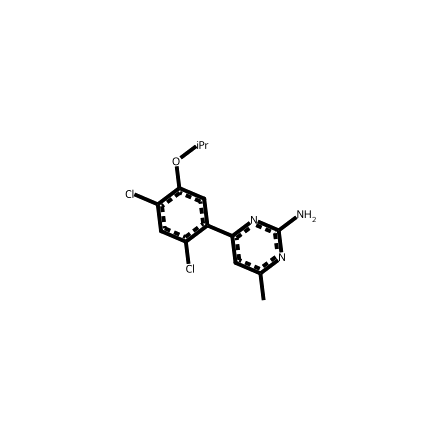 Cc1cc(-c2cc(OC(C)C)c(Cl)cc2Cl)nc(N)n1